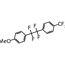 COc1ccc(C(F)(F)C(F)(F)c2ccc(C(F)(F)F)cc2)cc1